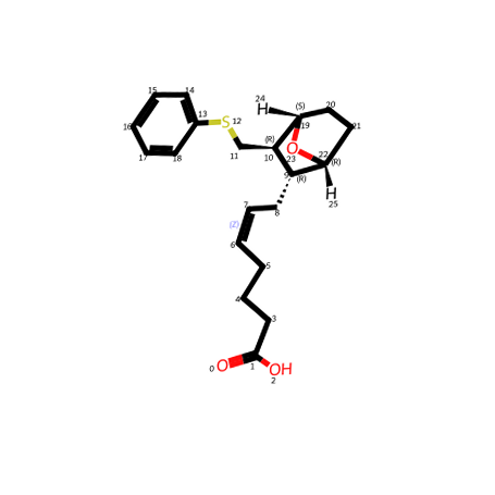 O=C(O)CCC/C=C\C[C@@H]1[C@@H](CSc2ccccc2)[C@@H]2CC[C@H]1O2